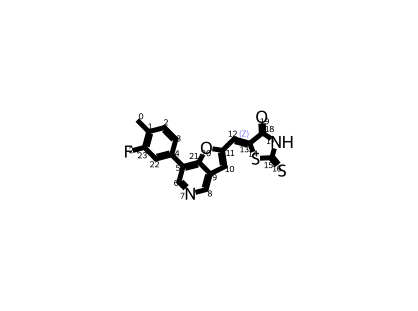 Cc1ccc(-c2cncc3cc(/C=C4\SC(=S)NC4=O)oc23)cc1F